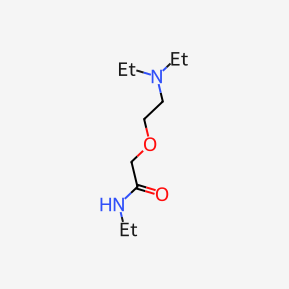 CCNC(=O)COCCN(CC)CC